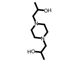 CC(O)CN1CCN(CC(C)O)CC1